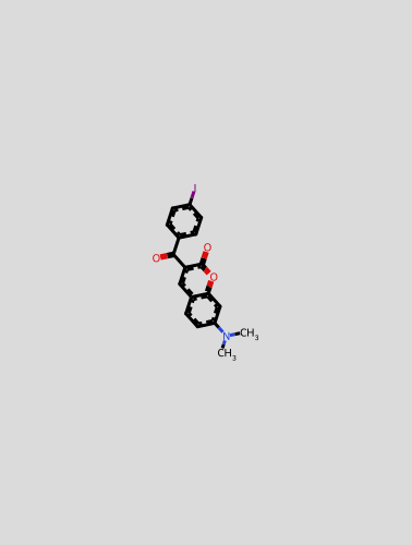 CN(C)c1ccc2cc(C(=O)c3ccc(I)cc3)c(=O)oc2c1